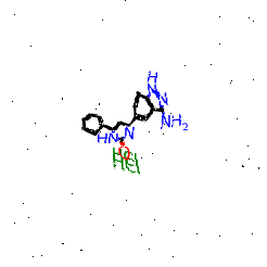 Cl.Cl.Nc1n[nH]c2ccc(-c3cc(-c4ccccc4)[nH]c(=O)n3)cc12